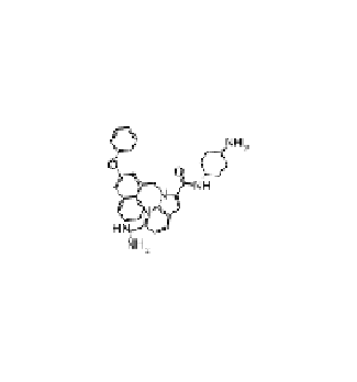 N=C(N)c1ccc2cc(C(=O)N[C@H]3CC[C@H](N)CC3)n(Cc3cc(Oc4ccccc4)cc4ccccc34)c2n1